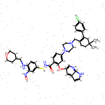 CC1(C)CCC(CN2CCN(c3ccc(C(=O)NSc4ccc(NCC5CCOCC5)c(N=O)c4)c(Oc4cnc5[nH]ccc5c4)c3)CC2)=C(c2ccc(Cl)cc2)C1